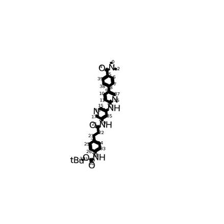 CN(C)C(=O)c1ccc(-c2ccc(Nc3cncc(NC(=O)CCc4ccc(NC(=O)OC(C)(C)C)cc4)c3)nc2)cc1